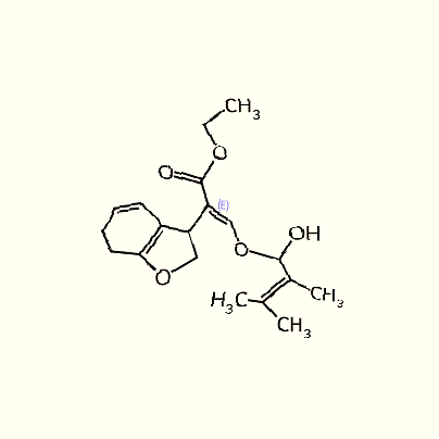 CCOC(=O)/C(=C/OC(O)C(C)=C(C)C)C1COC2=C1C=CCC2